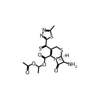 CC(=O)OC(C)OC(=O)C1=C(C(=S)c2nnc(C)s2)CS[C@H]2C(N)C(=O)N12